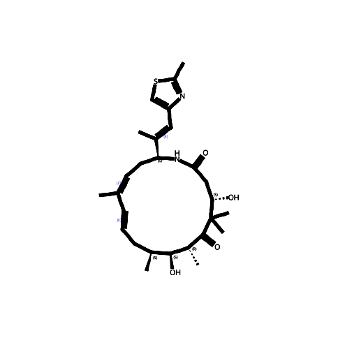 CC1=C/C[C@@H](/C(C)=C/c2csc(C)n2)NC(=O)C[C@H](O)C(C)(C)C(=O)[C@H](C)[C@@H](O)[C@@H](C)C\C=C\1